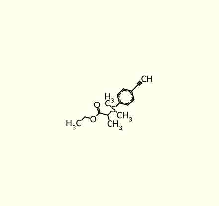 C#Cc1ccc(S(C)(C)C(C)C(=O)OCC)cc1